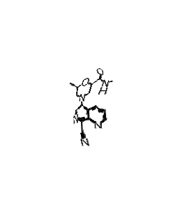 CNC(=O)[C@H]1CN(c2cnc(C#N)c3ncccc23)C[C@@H](C)O1